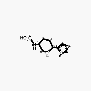 O=C(O)N[C@@H]1CC[C@@H](c2cnco2)OC1